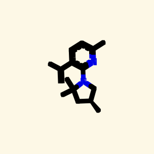 C=C(C)c1ccc(C)nc1N1C[C@@H](C)CC1(C)C